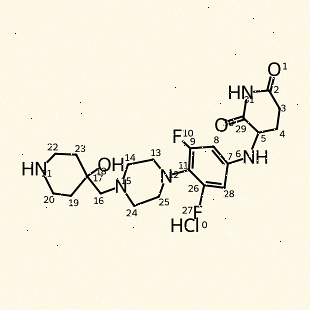 Cl.O=C1CCC(Nc2cc(F)c(N3CCN(CC4(O)CCNCC4)CC3)c(F)c2)C(=O)N1